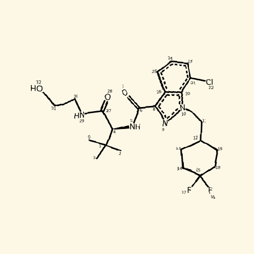 CC(C)(C)[C@H](NC(=O)c1nn(CC2CCC(F)(F)CC2)c2c(Cl)cccc12)C(=O)NCCO